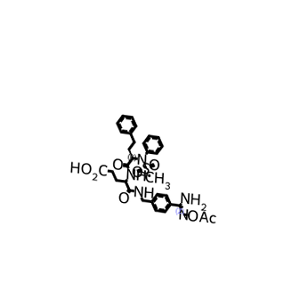 CC(=O)O/N=C(\N)c1ccc(CNC(=O)C(CCC(=O)O)NC(=O)[C@@H](CCc2ccccc2)N(c2ccccc2)S(C)(=O)=O)cc1